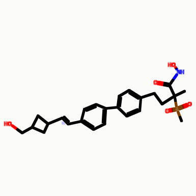 CC(CCc1ccc(-c2ccc(/C=C/C3CC(CO)C3)cc2)cc1)(C(=O)NO)S(C)(=O)=O